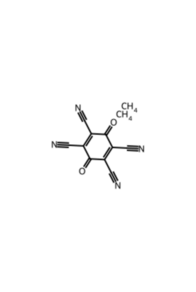 C.C.N#CC1=C(C#N)C(=O)C(C#N)=C(C#N)C1=O